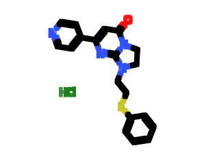 Cl.O=c1cc(-c2ccncc2)nc2n1CCN2CCSc1ccccc1